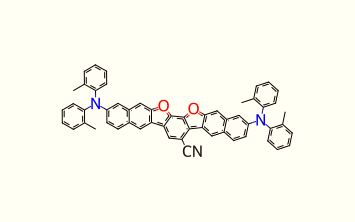 Cc1ccccc1N(c1ccc2cc3c(cc2c1)oc1c3cc(C#N)c2c3cc4ccc(N(c5ccccc5C)c5ccccc5C)cc4cc3oc12)c1ccccc1C